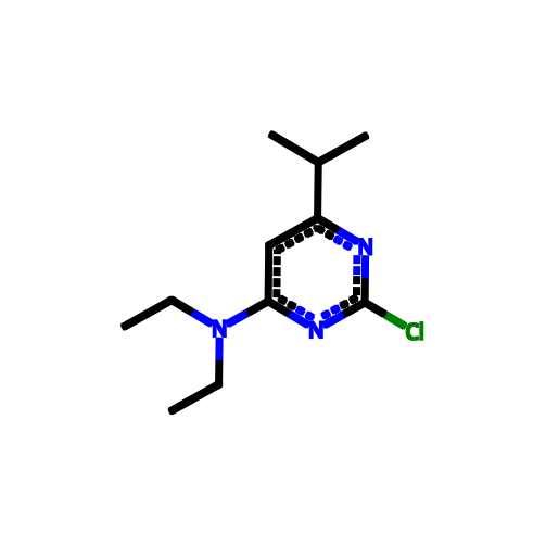 CCN(CC)c1cc(C(C)C)nc(Cl)n1